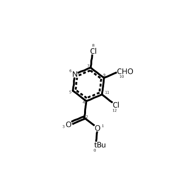 CC(C)(C)OC(=O)c1cnc(Cl)c(C=O)c1Cl